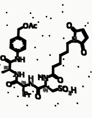 CC(=O)OCc1ccc(NC(=O)[C@H](C)NC(=O)[C@@H](NC(=O)[C@H](CS(=O)(=O)O)NC(=O)CCCCCN2C(=O)C=CC2=O)C(C)C)cc1